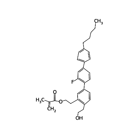 C=C(C)C(=O)OCCc1cc(-c2ccc(-c3ccc(CCCCC)cc3)cc2F)ccc1CCO